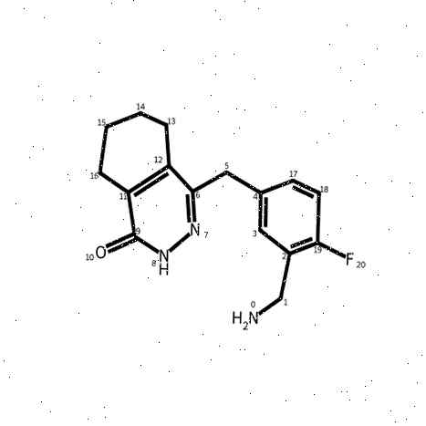 NCc1cc(Cc2n[nH]c(=O)c3c2CCCC3)ccc1F